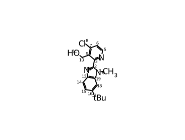 Cn1c(-c2nccc(Cl)c2CO)nc2ccc(C(C)(C)C)cc21